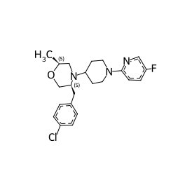 C[C@H]1CN(C2CCN(c3ccc(F)cn3)CC2)[C@@H](Cc2ccc(Cl)cc2)CO1